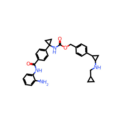 Nc1ccccc1NC(=O)c1ccc(C2(NC(=O)OCc3ccc(C4CC4NCC4CC4)cc3)CC2)cc1